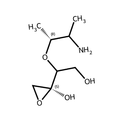 CC(N)[C@@H](C)OC(CO)[C@]1(O)CO1